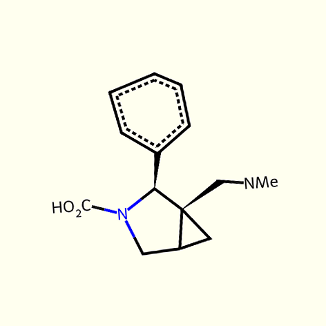 CNC[C@@]12CC1CN(C(=O)O)[C@H]2c1ccccc1